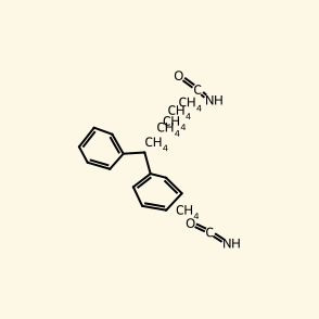 C.C.C.C.C.C.N=C=O.N=C=O.c1ccc(Cc2ccccc2)cc1